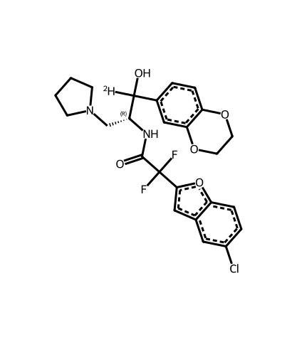 [2H]C(O)(c1ccc2c(c1)OCCO2)[C@@H](CN1CCCC1)NC(=O)C(F)(F)c1cc2cc(Cl)ccc2o1